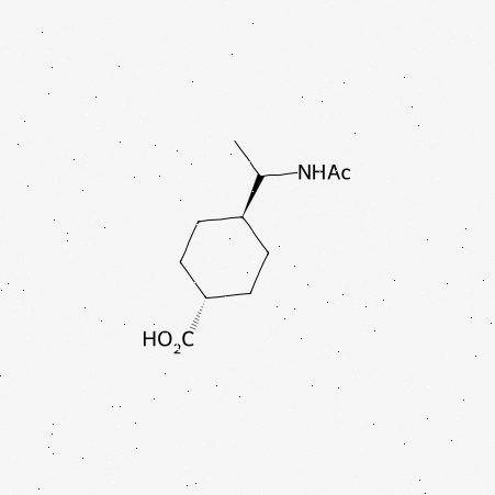 CC(=O)NC(C)[C@H]1CC[C@H](C(=O)O)CC1